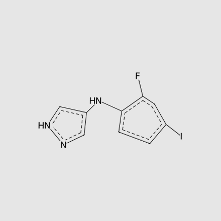 Fc1cc(I)ccc1Nc1cn[nH]c1